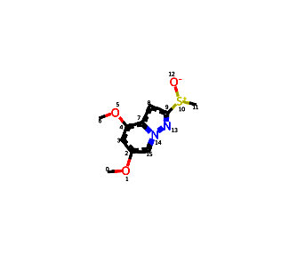 COc1cc(OC)c2cc([S+](C)[O-])nn2c1